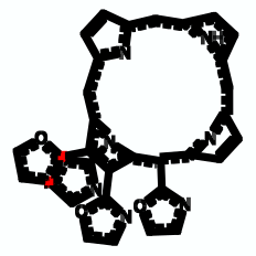 C1=Cc2cc3c(-c4ncco4)c(-c4ncco4)c(c(-c4ncco4)c4nc(cc5ccc(cc1n2)[nH]5)C=C4)n3-c1ncco1